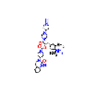 Bc1cc(C[C@@H](OC(=O)N2CCC(N3CCc4ccccc4NC3=O)CC2)C(=O)N2CCN(C3CCNCC3)CC2)cc(B)c1N